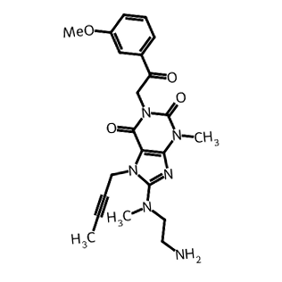 CC#CCn1c(N(C)CCN)nc2c1c(=O)n(CC(=O)c1cccc(OC)c1)c(=O)n2C